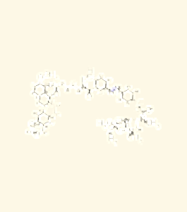 COc1ccc2cc3[n+](cc2c1OC(=O)CCCCNC(=O)c1cc(/N=N/c2ccc(COC(=O)N(C)CCN(C)C(=O)OC(C)(C)C)cc2)ccc1O)CCc1cc2c(cc1-3)OCOC2